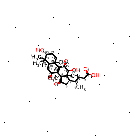 C[C@H](CCC(=O)O)[C@H]1CC(=O)[C@@]2(C)C3=C(C(=O)[C@@H](O)[C@]12C)[C@@]1(C)CC[C@H](O)C(C)(C)[C@@H]1C[C@@H]3O